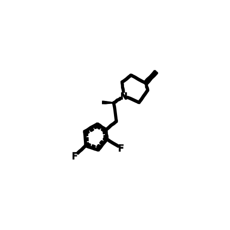 C=C1CCN([C@H](C)Cc2ccc(F)cc2F)CC1